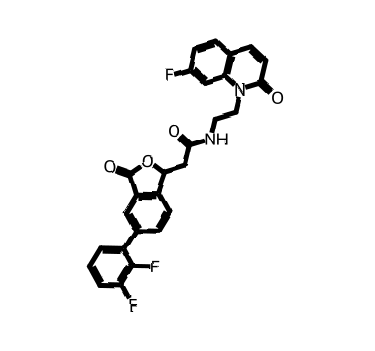 O=C(CC1OC(=O)c2cc(-c3cccc(F)c3F)ccc21)NCCn1c(=O)ccc2ccc(F)cc21